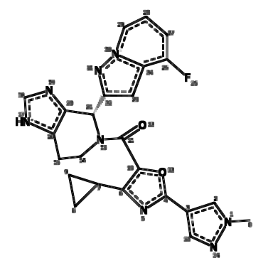 Cn1cc(-c2nc(C3CC3)c(C(=O)N3CCc4[nH]cnc4[C@@H]3c3cc4c(F)cccn4n3)o2)cn1